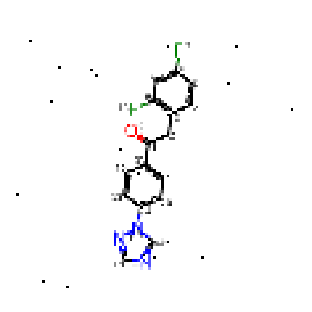 O=C(Cc1ccc(F)cc1F)c1ccc(-n2cncn2)cc1